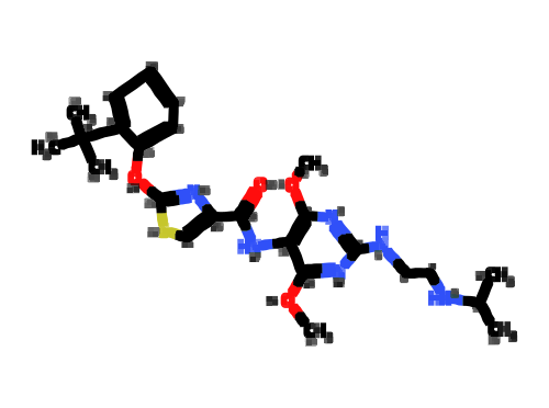 COc1nc(NCCNC(C)C)nc(OC)c1NC(=O)c1csc(Oc2ccccc2C(C)(C)C)n1